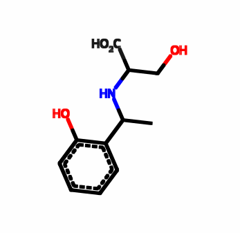 CC(NC(CO)C(=O)O)c1ccccc1O